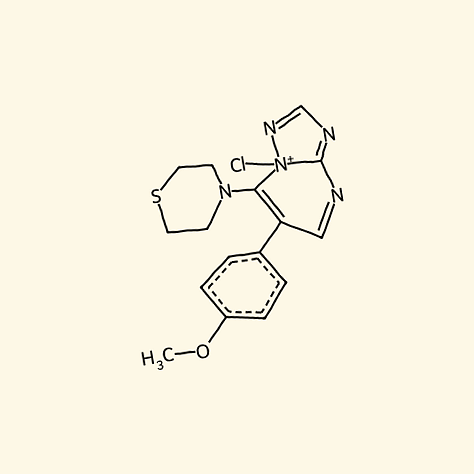 COc1ccc(C2=C(N3CCSCC3)[N+]3(Cl)N=CN=C3N=C2)cc1